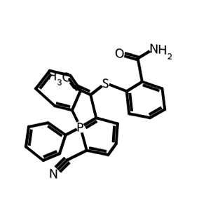 C/C=C(\Sc1ccccc1C(N)=O)C1=P(c2ccccc2)(c2ccccc2)C(C#N)=CC=C1